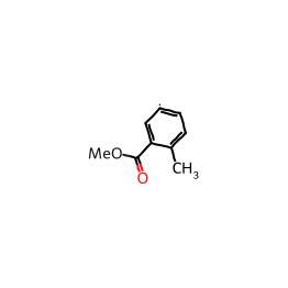 COC(=O)c1c[c]ccc1C